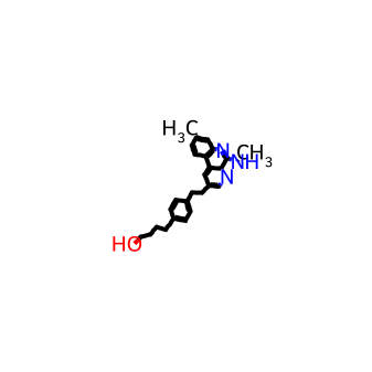 CNc1nc2cc(C)ccc2c2cc(CCc3ccc(CCCCO)cc3)cnc12